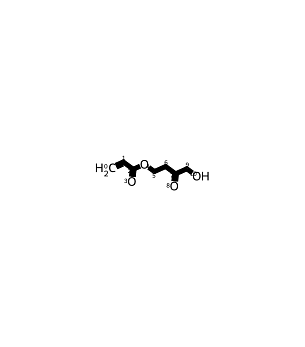 C=CC(=O)OCCC(=O)CO